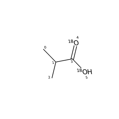 CC(C)C(=[18O])[18OH]